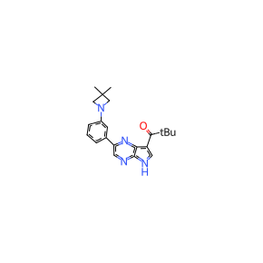 CC1(C)CN(c2cccc(-c3cnc4[nH]cc(C(=O)C(C)(C)C)c4n3)c2)C1